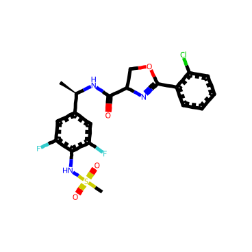 C[C@@H](NC(=O)C1COC(c2ccccc2Cl)=N1)c1cc(F)c(NS(C)(=O)=O)c(F)c1